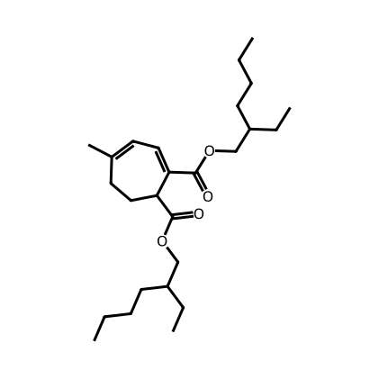 CCCCC(CC)COC(=O)C1=CC=C(C)CCC1C(=O)OCC(CC)CCCC